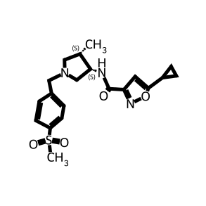 C[C@H]1CN(Cc2ccc(S(C)(=O)=O)cc2)C[C@H]1NC(=O)c1cc(C2CC2)on1